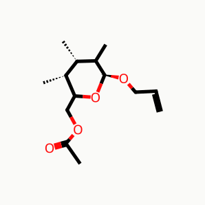 C=CCO[C@H]1OC(COC(C)=O)[C@H](C)[C@H](C)C1C